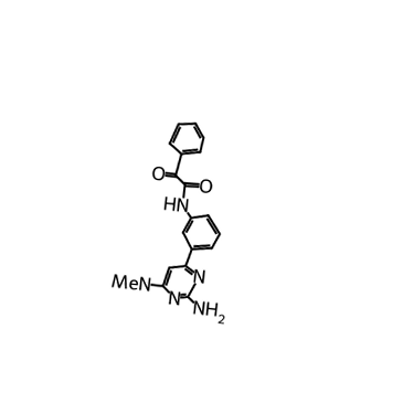 CNc1cc(-c2cccc(NC(=O)C(=O)c3ccccc3)c2)nc(N)n1